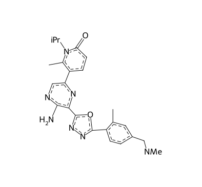 CNCc1ccc(-c2nnc(-c3nc(-c4ccc(=O)n(C(C)C)c4C)cnc3N)o2)c(C)c1